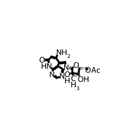 CC(=O)OC[C@H]1O[C@@H](n2cc3c4c(ncnc42)NC(=O)C=C3N)C(C)(O)[C@@H]1O